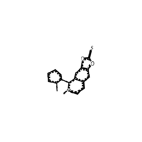 Cc1ccccc1-c1c2cc3oc(=S)oc3cc2cc[n+]1C